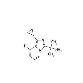 CC(C)(N)c1nc(C2CC2)c2c(F)cccn12